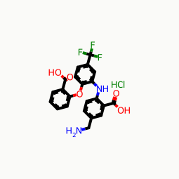 Cl.NCc1ccc(Nc2cc(C(F)(F)F)ccc2Oc2ccccc2C(=O)O)c(C(=O)O)c1